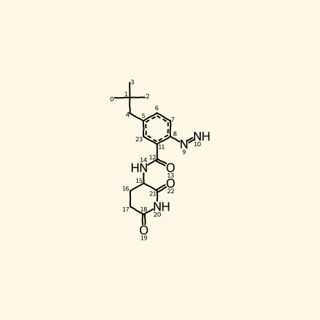 CC(C)(C)Cc1ccc(N=N)c(C(=O)NC2CCC(=O)NC2=O)c1